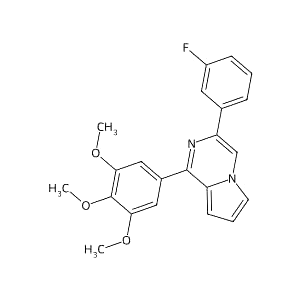 COc1cc(-c2nc(-c3cccc(F)c3)cn3cccc23)cc(OC)c1OC